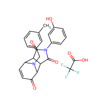 Cc1cccc(CN2C3C=CC(=O)C2C2C(=O)N(c4cccc(O)c4)C(=O)C23)c1.O=C(O)C(F)(F)F